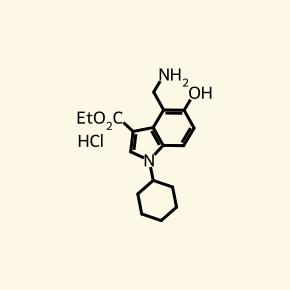 CCOC(=O)c1cn(C2CCCCC2)c2ccc(O)c(CN)c12.Cl